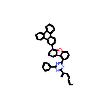 C=C(/C=C\C=C/C)c1nc(-c2ccccc2)nc(-c2cccc3oc4c(-c5ccc6c7ccccc7c7ccccc7c6c5)cccc4c23)n1